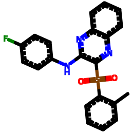 Cc1ccccc1S(=O)(=O)c1nc2ccccc2nc1Nc1ccc(F)cc1